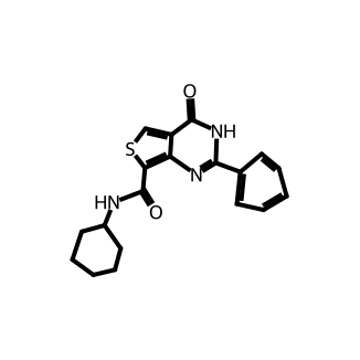 O=C(NC1CCCCC1)c1scc2c(=O)[nH]c(-c3ccccc3)nc12